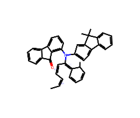 C\C=C/C=C\C(=C1/C=CC=CC1C)N(c1ccc2c(c1)C(C)(C)c1ccccc1-2)c1cccc2c1C(=O)c1ccccc1-2